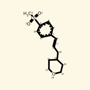 CS(=O)(=O)c1ccc(/C=C/CC2CCOCC2)cc1